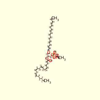 CCCCC/C=C\C/C=C\C/C=C\C/C=C\CCCC(=O)O[C@H](COC/C=C/CCCCCCCCCCCCCCC)COP(=O)(O)OCC